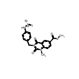 COC(=O)c1ccc2c(c1)c(=O)n(Cc1ccc(N[SH](=O)=O)cc1)c(=O)n2C